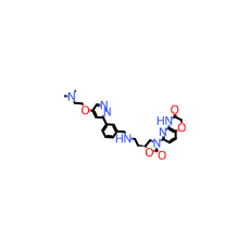 CN(C)CCOc1cnnc(-c2cccc(CNCC[C@H]3CN(c4ccc5c(n4)NC(=O)CO5)C(=O)O3)c2)c1